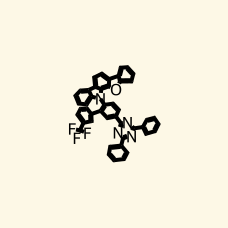 FC(F)(F)c1cccc(-c2cc(-c3nc(-c4ccccc4)nc(-c4ccccc4)n3)ccc2-n2c3ccccc3c3ccc4c5ccccc5oc4c32)c1